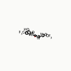 O=C(NC12CC(n3cc(-c4ccc(OC(F)(F)F)cn4)cn3)(C1)C2)[C@H]1C[C@H](O)c2cc(C(F)(F)F)ccc2O1